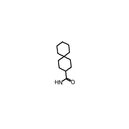 [NH]C(=O)C1CCC2(CCCCC2)CC1